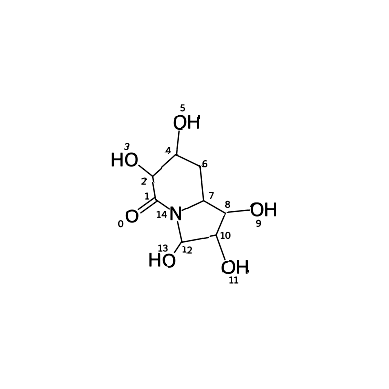 O=C1C(O)C(O)CC2C(O)C(O)C(O)N12